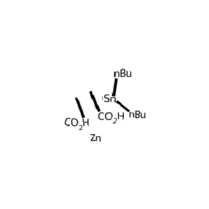 CC(=O)O.CC(=O)O.CCC[CH2][Sn][CH2]CCC.[Zn]